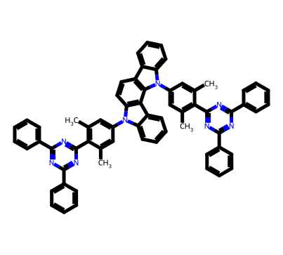 Cc1cc(-n2c3ccccc3c3c2ccc2c4ccccc4n(-c4cc(C)c(-c5nc(-c6ccccc6)nc(-c6ccccc6)n5)c(C)c4)c23)cc(C)c1-c1nc(-c2ccccc2)nc(-c2ccccc2)n1